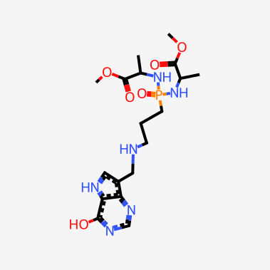 COC(=O)C(C)NP(=O)(CCCNCc1c[nH]c2c(O)ncnc12)NC(C)C(=O)OC